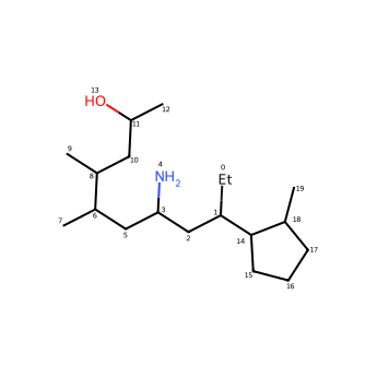 CCC(CC(N)CC(C)C(C)CC(C)O)C1CCCC1C